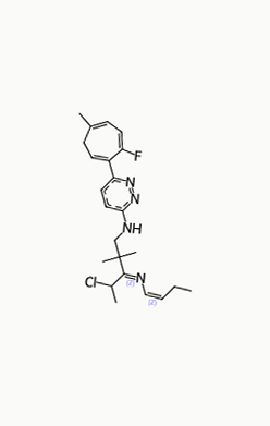 CC/C=C\N=C(/C(C)Cl)C(C)(C)CNc1ccc(C2=CCC(C)=CC=C2F)nn1